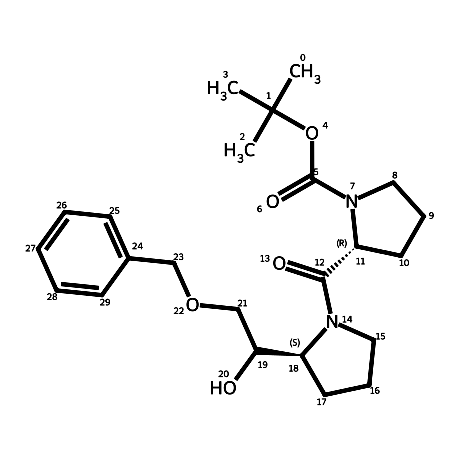 CC(C)(C)OC(=O)N1CCC[C@@H]1C(=O)N1CCC[C@H]1C(O)COCc1ccccc1